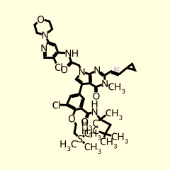 Cn1c(/C=C/C2CC2)nc2c(c(-c3cc(Cl)c(OCCS(C)(C)C)c(C(=O)NC(C)(C)CC(C)(C)C)c3)cn2CC(=O)Nc2cc(N3CCOCC3)ncc2Cl)c1=O